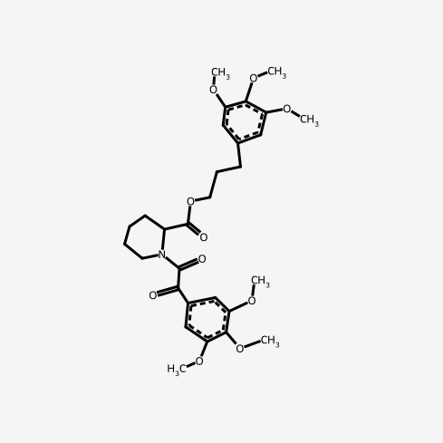 COc1cc(CCCOC(=O)C2CCCCN2C(=O)C(=O)c2cc(OC)c(OC)c(OC)c2)cc(OC)c1OC